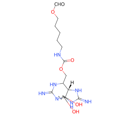 N=C1N[C@H]2C(COC(=O)NCCCCCOC=O)NC(=N)N3CCC(O)(O)C23N1